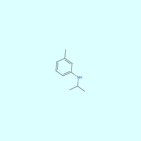 Cc1[c]c(NC(C)C)ccc1